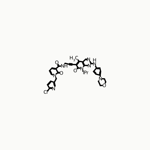 Cc1c(C#CCNC(=O)c2cccn(Cc3ccc(Cl)nc3)c2=O)c(=O)n(C(C)C)c2nc(Nc3ccc(N4CCOCC4)cc3)ncc12